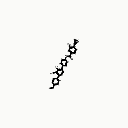 CCc1ccc(-c2ccc(-c3ccc(OC(=O)c4ccc(C5CO5)c(F)c4)cc3)c(F)c2F)cc1